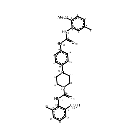 COc1ccc(C)cc1NC(=O)Nc1ccc(N2CCN(C(=O)Nc3c(C)cccc3C(=O)O)CC2)cc1